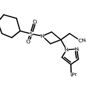 CC(C)c1cnn(C2(CC#N)CN(S(=O)(=O)C3CCCCC3)C2)c1